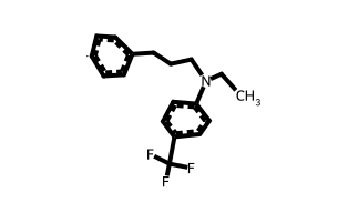 CCN(CCCc1cc[c]cc1)c1ccc(C(F)(F)F)cc1